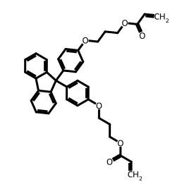 C=CC(=O)OCCCOc1ccc(C2(c3ccc(OCCCOC(=O)C=C)cc3)c3ccccc3-c3ccccc32)cc1